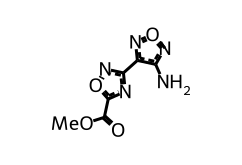 COC(=O)c1nc(-c2nonc2N)no1